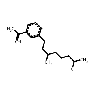 [CH]=C(C)c1cc[c]c(CCC(C)CCCC(C)C)c1